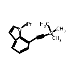 CC(C)n1ccc2cccc(C#C[Si](C)(C)C)c21